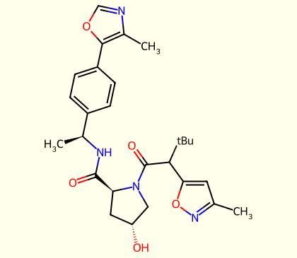 Cc1cc(C(C(=O)N2C[C@H](O)C[C@H]2C(=O)N[C@@H](C)c2ccc(-c3ocnc3C)cc2)C(C)(C)C)on1